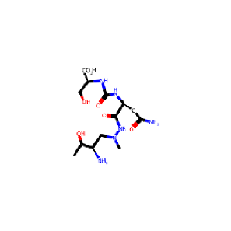 CC(O)[C@H](N)CN(C)NC(=O)[C@H](CC(N)=O)NC(=O)N[C@@H](CO)C(=O)O